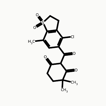 Cc1cc(C(=O)C2C(=O)CCC(C)(C)C2=O)c(Cl)c2c1S(=O)(=O)CC2